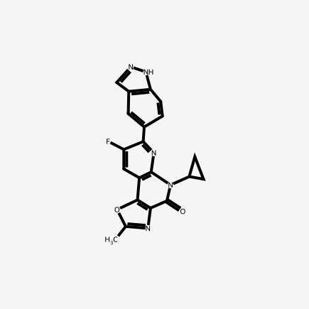 Cc1nc2c(=O)n(C3CC3)c3nc(-c4ccc5[nH]ncc5c4)c(F)cc3c2o1